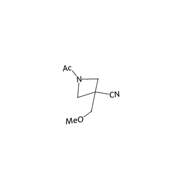 COCC1(C#N)CN(C(C)=O)C1